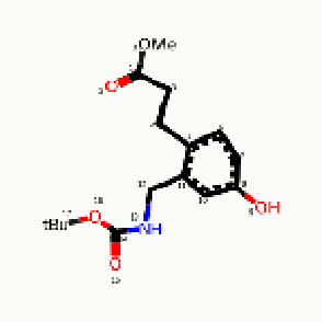 COC(=O)CCc1ccc(O)cc1CNC(=O)OC(C)(C)C